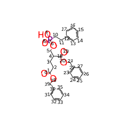 O=C(CCC(COP(=O)(O)CCc1ccccc1)C(=O)OCc1ccccc1)OCc1ccccc1